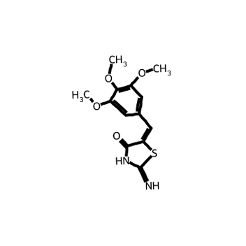 COc1cc(/C=C2/SC(=N)NC2=O)cc(OC)c1OC